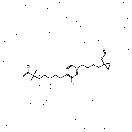 CC(C)(CCCCCc1ccc(CCCCC2(OC=O)CC2)cc1O)C(=O)O